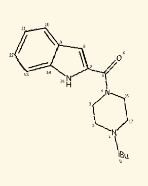 CCC(C)N1CCN(C(=O)c2cc3ccccc3[nH]2)CC1